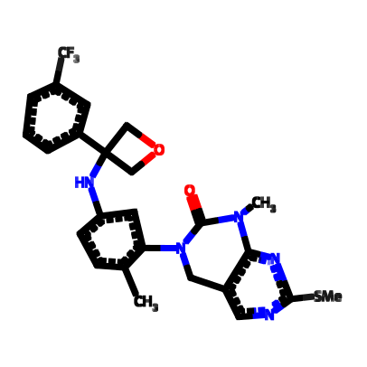 CSc1ncc2c(n1)N(C)C(=O)N(c1cc(NC3(c4cccc(C(F)(F)F)c4)COC3)ccc1C)C2